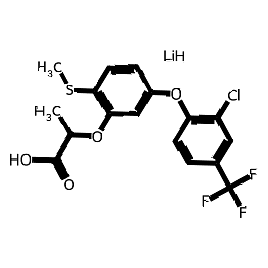 CSc1ccc(Oc2ccc(C(F)(F)F)cc2Cl)cc1OC(C)C(=O)O.[LiH]